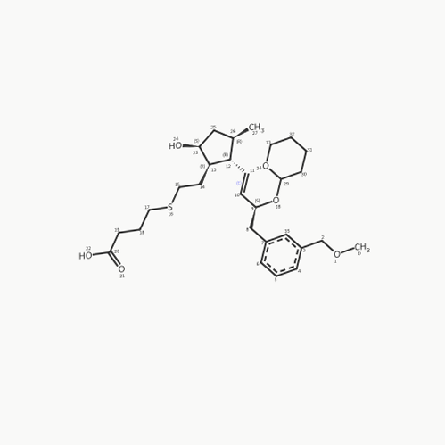 COCc1cccc(C[C@@H](/C=C/[C@@H]2[C@@H](CCSCCCC(=O)O)[C@@H](O)C[C@H]2C)OC2CCCCO2)c1